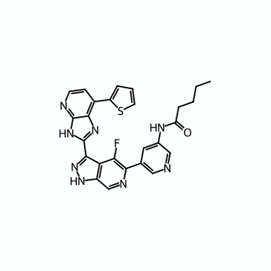 CCCCC(=O)Nc1cncc(-c2ncc3[nH]nc(-c4nc5c(-c6cccs6)ccnc5[nH]4)c3c2F)c1